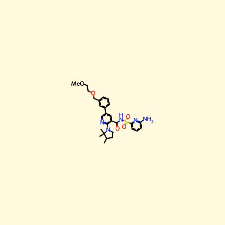 COCCOCc1cccc(-c2cnc(N3CCC(C)C3(C)C)c(C(=O)NS(=O)(=O)c3cccc(N)n3)c2)c1